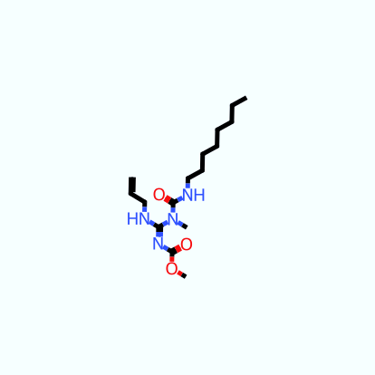 C=CCN/C(=N/C(=O)OC)N(C)C(=O)NCCCCCCCC